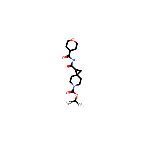 O=C(NC(=O)C1CC12CCN(C(=O)OC(C(F)(F)F)C(F)(F)F)CC2)C1CCOCC1